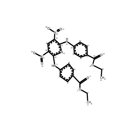 CCOC(=O)c1ccc(Nc2nc(Nc3ccc(C(=O)OCC)cc3)c([N+](=O)[O-])cc2[N+](=O)[O-])cc1